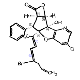 C=CC/C(Br)=C\C=C(/C)[C@@]12Oc3cc(Cl)cnc3[C@]1(O)[C@@H]1OC(=O)[C@@H]1[C@H]2c1ccccc1